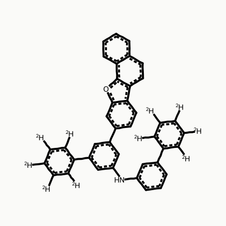 [2H]c1c([2H])c([2H])c(-c2cccc(Nc3cc(-c4ccc5c(c4)oc4c6ccccc6ccc54)cc(-c4c([2H])c([2H])c([2H])c([2H])c4[2H])c3)c2)c([2H])c1[2H]